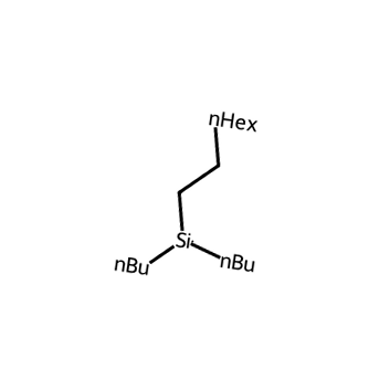 CCCCCCCC[Si](CCCC)CCCC